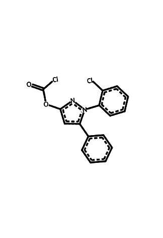 O=C(Cl)Oc1cc(-c2ccccc2)n(-c2ccccc2Cl)n1